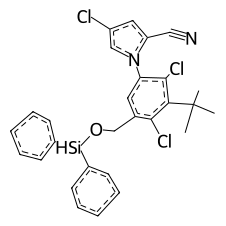 CC(C)(C)c1c(Cl)c(CO[SiH](c2ccccc2)c2ccccc2)cc(-n2cc(Cl)cc2C#N)c1Cl